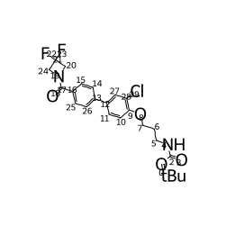 CC(C)(C)OC(=O)NCCCOc1ccc(-c2ccc(C(=O)N3CC(F)(F)C3)cc2)cc1Cl